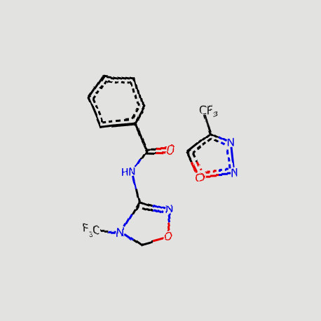 FC(F)(F)c1conn1.O=C(NC1=NOCN1C(F)(F)F)c1ccccc1